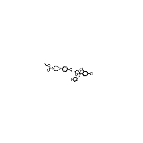 CCOC(=O)N1CCN(c2ccc(OC[C@@H]3CO[C@@](Cn4ccnc4)(c4ccc(Cl)cc4Cl)O3)cc2)CC1